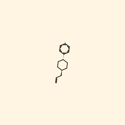 C=CC[C@H]1CC[C@H](c2cc[c]cc2)CC1